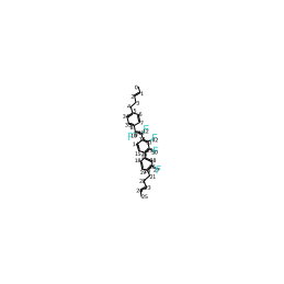 C/C=C/CCc1ccc(/C(F)=C(\F)c2ccc(-c3ccc(CC/C=C/C)c(F)c3)c(F)c2F)cc1